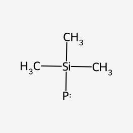 C[Si](C)(C)[P]